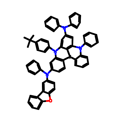 CC(C)(C)c1ccc(N2c3cc(N(c4ccccc4)c4ccc5oc6ccccc6c5c4)ccc3B3c4ccccc4N(c4ccccc4)c4cc(N(c5ccccc5)c5ccccc5)cc2c43)cc1